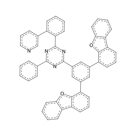 c1ccc(-c2nc(-c3cc(-c4cccc5c4oc4ccccc45)cc(-c4cccc5c4oc4ccccc45)c3)nc(-c3ccccc3-c3cccnc3)n2)cc1